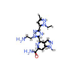 CCn1nc(C)cc1-c1nc(-c2nc(C(N)=O)cc3c2cnn3C)n(CCN)n1